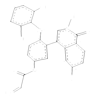 C=CC(=O)Nc1ccc(Nc2c(C)cccc2C)c(-c2cn(C)c(=O)c3ccc(F)cc23)c1